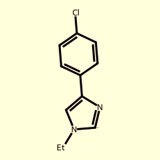 CCn1[c]nc(-c2ccc(Cl)cc2)c1